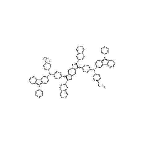 Cc1ccc(N(c2ccc(-n3c(-c4ccc5ccccc5c4)cc4cc5c(cc(-c6ccc7ccccc7c6)n5-c5ccc(N(c6ccc(C)cc6)c6ccc7c(c6)c6ccccc6n7-c6ccccc6)cc5)cc43)cc2)c2ccc3c(c2)c2ccccc2n3-c2ccccc2)cc1